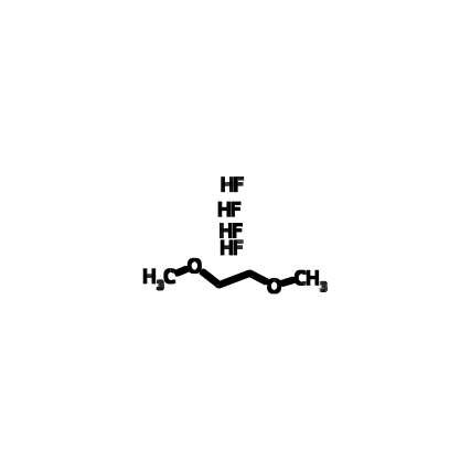 COCCOC.F.F.F.F